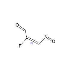 O=C/C(F)=C\N=O